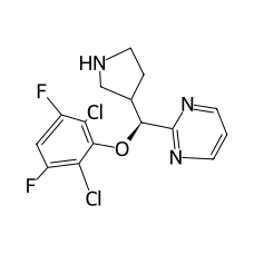 Fc1cc(F)c(Cl)c(O[C@H](c2ncccn2)C2CCNC2)c1Cl